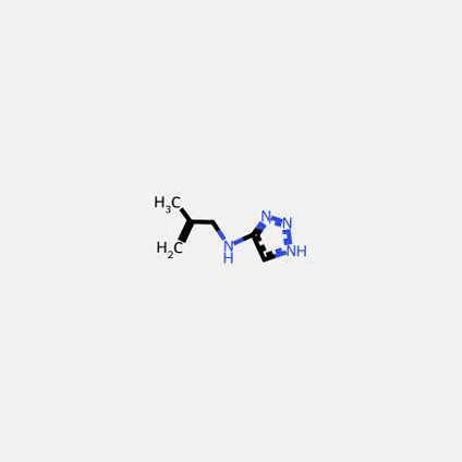 C=C(C)CNc1c[nH]nn1